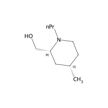 CCCN1CC[C@H](C)C[C@@H]1CO